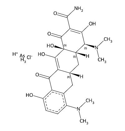 CN(C)c1ccc(O)c2c1C[C@H]1C[C@H]3[C@H](N(C)C)C(O)=C(C(N)=O)C(=O)[C@@]3(O)C(O)=C1C2=O.[AsH3].[Cl-].[H+]